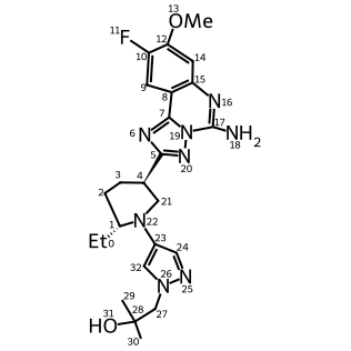 CC[C@@H]1CC[C@@H](c2nc3c4cc(F)c(OC)cc4nc(N)n3n2)CN1c1cnn(CC(C)(C)O)c1